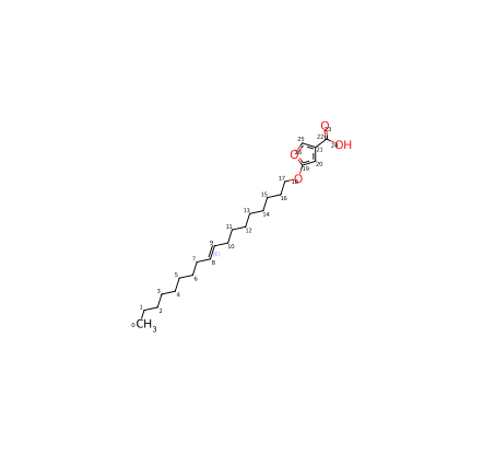 CCCCCCCC/C=C/CCCCCCCCOc1cc(C(=O)O)co1